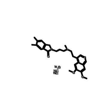 COc1cc2cncc(CCN(C)CCCN3Cc4cc(C)c(C)cc4C3=O)c2cc1OC.Cl.Cl.O